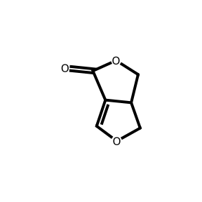 O=C1OCC2COC=C12